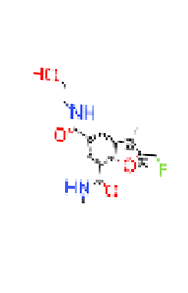 CNC(=O)c1cc(C(=O)NCCO)cc2c1O[C@H](CF)[C@H]2C